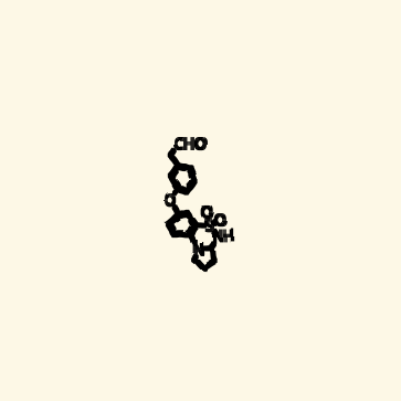 O=CCc1cccc(Oc2ccc3c(c2)S(=O)(=O)NC2CCCN32)c1